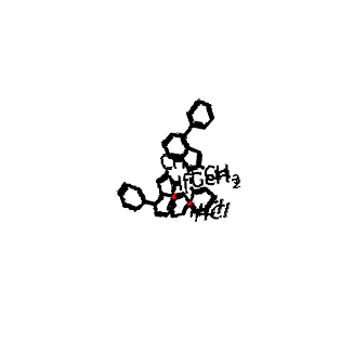 CC1=Cc2c(-c3ccccc3)cccc2[CH]1[Hf](=[GeH2])([c]1ccccc1)([c]1ccccc1)[CH]1C(C)=Cc2c(-c3ccccc3)cccc21.Cl.Cl